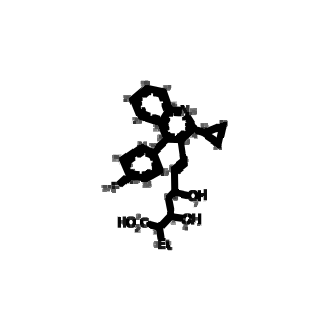 CCC(C(=O)O)C(O)CC(O)C=Cc1c(C2CC2)nc2ccccc2c1-c1ccc(F)cc1